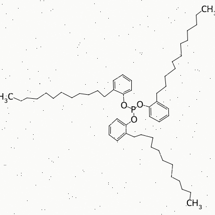 CCCCCCCCCCCCc1ccccc1OP(Oc1ccccc1CCCCCCCCCCCC)Oc1ccccc1CCCCCCCCCCCC